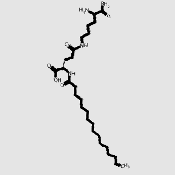 BC(=O)C(N)CCCCNC(=O)CC[C@H](NC(=O)CCCCCCCCCCCCCCC)C(=O)O